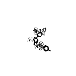 Cc1ccc(S(=O)(=O)n2ncc3c(C#N)cc(-c4cnc(Cl)c(NS(C)(=O)=O)c4)cc32)cc1